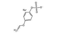 C=COc1ccc(OS(=O)(=O)[O-])cc1.[Na+]